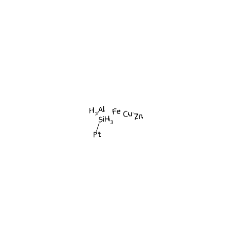 [AlH3].[Cu].[Fe].[SiH3][Pt].[Zn]